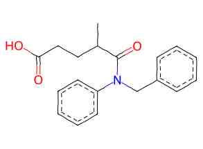 CC(CCC(=O)O)C(=O)N(Cc1ccccc1)c1ccccc1